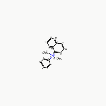 CCCCCCCCCC[N+](CCCCCCCCCC)(c1ccccc1)c1cccc2ccccc12